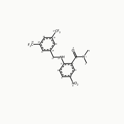 CN(C)C(=O)c1cc([N+](=O)[O-])ccc1NCc1cc(C(F)(F)F)cc(C(F)(F)F)c1